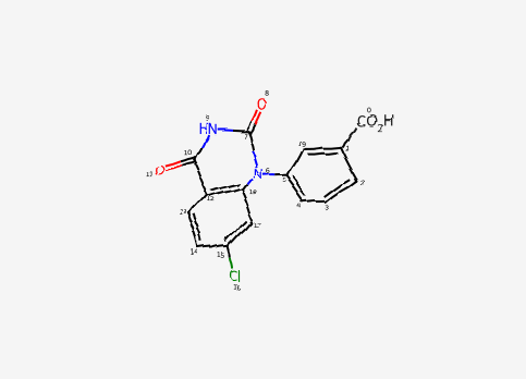 O=C(O)c1cccc(-n2c(=O)[nH]c(=O)c3ccc(Cl)cc32)c1